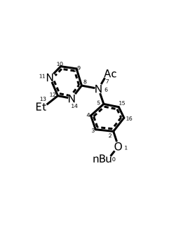 CCCCOc1ccc(N(C(C)=O)c2ccnc(CC)n2)cc1